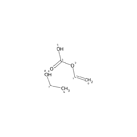 C=COC(=O)O.CCO